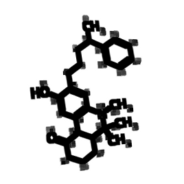 CC(CCCc1cc2c(cc1O)C1C(=O)CCCC1C(C)(C)N2C)c1ccccc1